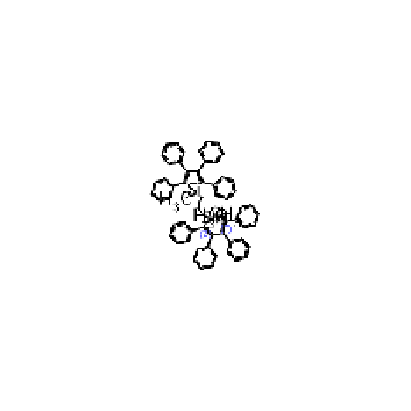 C/C(=C(\C(=C(\c1ccccc1)[SiH](C)CC[Si]1(C)C(c2ccccc2)=C(c2ccccc2)C(c2ccccc2)=C1c1ccccc1)c1ccccc1)c1ccccc1)c1ccccc1